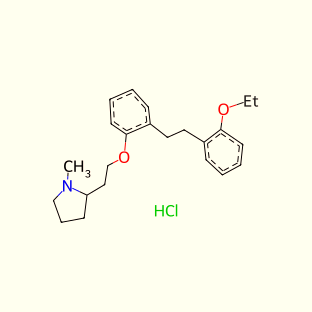 CCOc1ccccc1CCc1ccccc1OCCC1CCCN1C.Cl